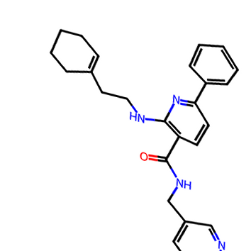 O=C(NCc1cccnc1)c1ccc(-c2ccccc2)nc1NCCC1=CCCCC1